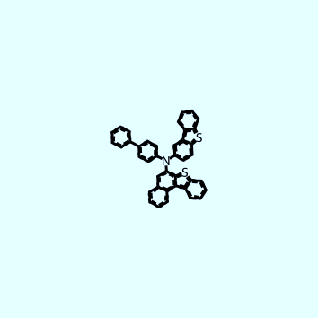 c1ccc(-c2ccc(N(c3ccc4sc5ccccc5c4c3)c3cc4ccccc4c4c3sc3ccccc34)cc2)cc1